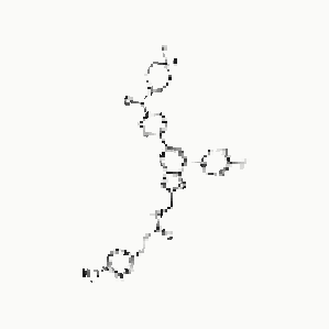 Nc1ccc(C=CC(=O)NCc2cc3cc(-c4ccc(C(=O)N5CCC(F)(F)CC5)cn4)cc(-c4ccc(F)cc4)c3o2)cn1